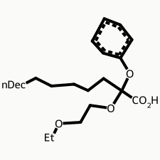 CCCCCCCCCCCCCCCC(OCCOCC)(Oc1ccccc1)C(=O)O